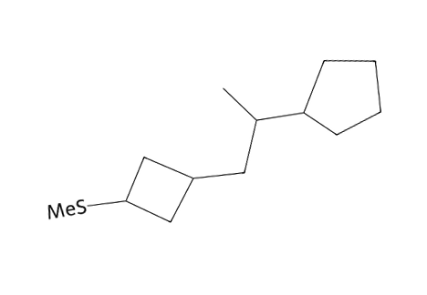 CSC1CC(CC(C)C2CCCC2)C1